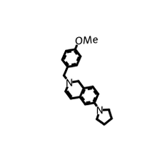 COc1ccc(CN2C=Cc3cc(N4CCCC4)ccc3C2)cc1